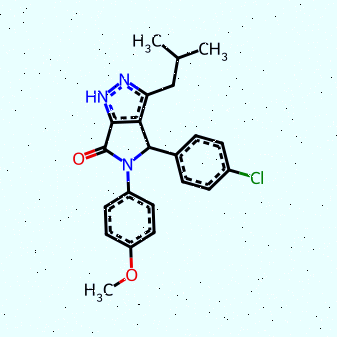 COc1ccc(N2C(=O)c3[nH]nc(CC(C)C)c3C2c2ccc(Cl)cc2)cc1